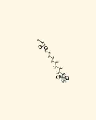 C=CC(=O)OCCCCCCCCCC[Si](Cl)(Cl)Cl